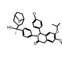 COc1cc2c(cc1OC(C)C)C(c1ccc(Cl)cc1)N(c1ccc([C@@](C)(O)C3CC4CCC(C3)N4C)cc1)C(=O)C2